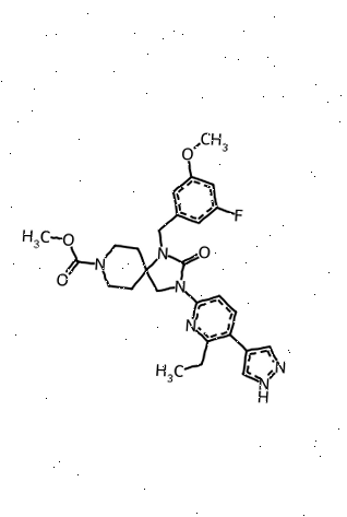 CCc1nc(N2CC3(CCN(C(=O)OC)CC3)N(Cc3cc(F)cc(OC)c3)C2=O)ccc1-c1cn[nH]c1